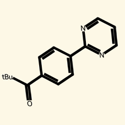 CC(C)(C)C(=O)c1ccc(-c2ncccn2)cc1